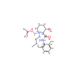 CCCC[N+]1(COC(C)=O)CCCCC1C(=O)Nc1c(C)cccc1C.[Br-]